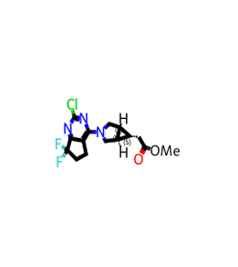 COC(=O)C[C@@H]1[C@H]2CN(c3nc(Cl)nc4c3CCC4(F)F)C[C@@H]12